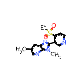 CCS(=O)(=O)c1ccncc1-c1nc2cc(C)cnc2n1C